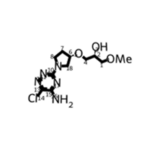 COC[C@@H](O)CO[C@H]1CCN(c2nnc(Cl)c(N)n2)C1